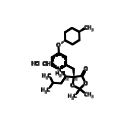 CC(C)C[C@H](N)[C@@]1(Cc2cc(O[C@H]3CC[C@H](C)CC3)ccn2)OC(C)(C)OC1=O.Cl.Cl